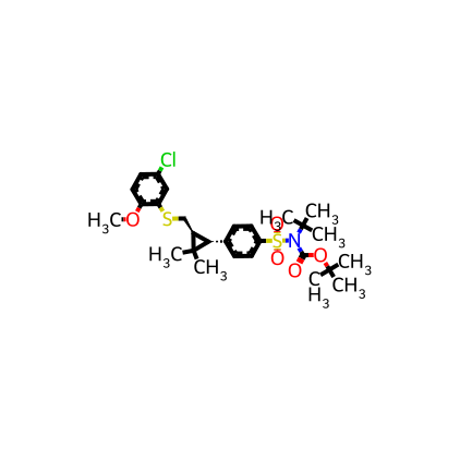 COc1ccc(Cl)cc1SC[C@H]1[C@H](c2ccc(S(=O)(=O)N(C(=O)OC(C)(C)C)C(C)(C)C)cc2)C1(C)C